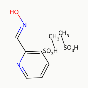 CS(=O)(=O)O.CS(=O)(=O)O.ON=Cc1ccccn1